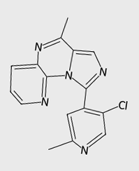 Cc1cc(-c2ncc3c(C)nc4cccnc4n23)c(Cl)cn1